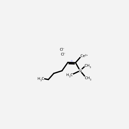 CCCC/C=[C](/[Ce+2])[Si](C)(C)C.[Cl-].[Cl-]